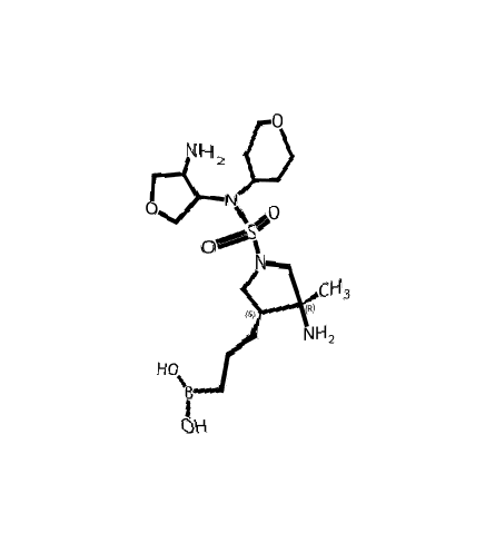 C[C@]1(N)CN(S(=O)(=O)N(C2CCOCC2)C2COCC2N)C[C@@H]1CCCB(O)O